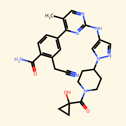 Cc1cnc(Nc2cnn(C3CCN(C(=O)C4(O)CC4)CC3)c2)nc1-c1ccc(C(N)=O)c(CC#N)c1